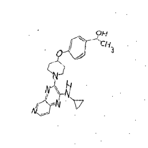 CC(O)c1ccc(OC2CCN(c3nc4cnccc4nc3NC3CC3)CC2)cc1